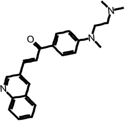 CN(C)CCN(C)c1ccc(C(=O)C=Cc2cnc3ccccc3c2)cc1